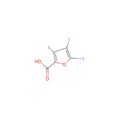 O=C(O)c1oc(I)c(I)c1I